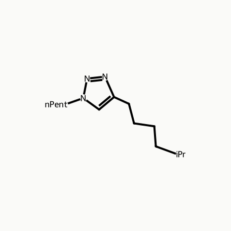 CCCCCn1cc(CCCCC(C)C)nn1